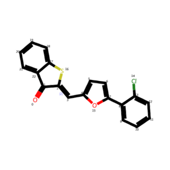 O=C1/C(=C/c2ccc(-c3ccccc3Cl)o2)Sc2ccccc21